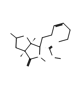 COC(=O)[C@]1([C@H](O)[C@@H]2C=CCCC2)N(C)C(=O)[C@@H]2CC(C)O[C@@]21C